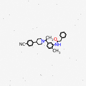 C=C(c1ccc(C)c(NC(=O)Cc2ccccc2)c1)N1CCC(c2ccc(C#N)cc2)CC1